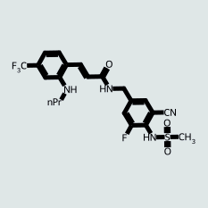 CCCNc1cc(C(F)(F)F)ccc1/C=C/C(=O)NCc1cc(F)c(NS(C)(=O)=O)c(C#N)c1